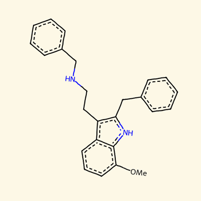 COc1cccc2c(CCNCc3ccccc3)c(Cc3ccccc3)[nH]c12